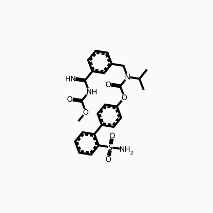 COC(=O)NC(=N)c1cccc(CN(C(=O)Oc2ccc(-c3ccccc3S(N)(=O)=O)cc2)C(C)C)c1